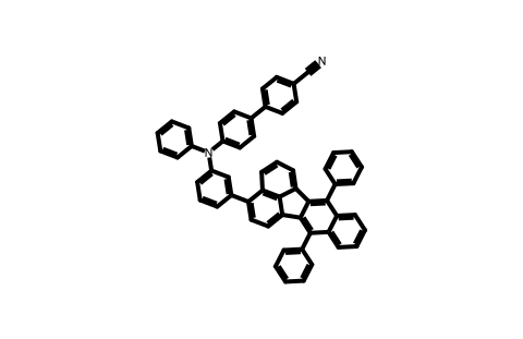 N#Cc1ccc(-c2ccc(N(c3ccccc3)c3cccc(-c4ccc5c6c(cccc46)-c4c-5c(-c5ccccc5)c5ccccc5c4-c4ccccc4)c3)cc2)cc1